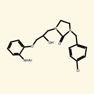 CC(=O)Nc1ccccc1OCC(O)CN1CCN(Cc2ccc(Cl)cc2)C1=O